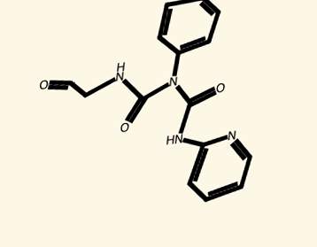 O=[C]CNC(=O)N(C(=O)Nc1ccccn1)c1ccccc1